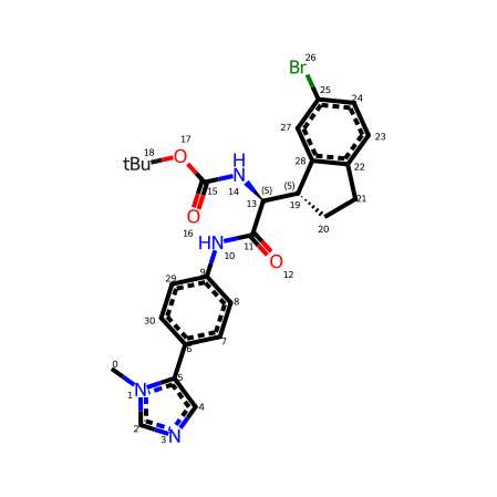 Cn1cncc1-c1ccc(NC(=O)[C@@H](NC(=O)OC(C)(C)C)[C@H]2CCc3ccc(Br)cc32)cc1